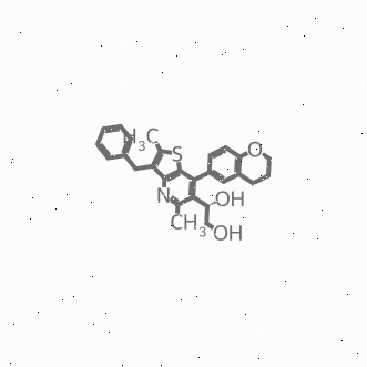 Cc1nc2c(Cc3ccccc3)c(C)sc2c(-c2ccc3c(c2)CCCO3)c1[C@H](O)CO